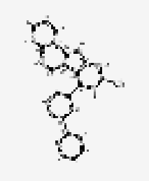 Clc1nc(-c2cccc(-c3ccccc3)c2)c2c(n1)sc1c3ccccc3ccc12